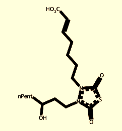 CCCCCC(O)CCn1c(=O)sc(=O)n1CCCCC=CC(=O)O